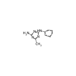 Cc1nc(N)nc(Nc2ccccc2)n1